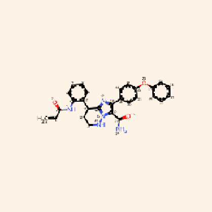 C=CC(=O)Nc1ccccc1C1CCNn2c1nc(-c1ccc(Oc3ccccc3)cc1)c2C(N)=O